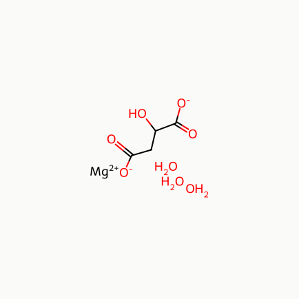 O.O.O.O=C([O-])CC(O)C(=O)[O-].[Mg+2]